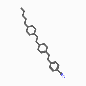 CCCCCC1CCC(CCC2CC=C(CCc3ccc(C#N)cc3)CC2)CC1